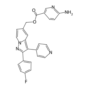 Nc1ccc(C(=O)OCc2ccn3nc(-c4ccc(F)cc4)c(-c4ccncc4)c3c2)cn1